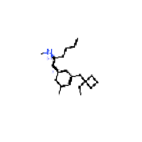 CCCCC(/C=C1\CC(CC2(CC)CCC2)=CC(C)C1)=N/C